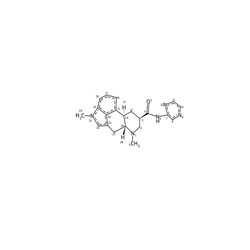 CN1C[C@H](C(=O)Nc2cnccn2)C[C@@H]2c3cccc4c3c(cn4C)C[C@H]21